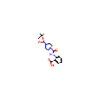 CC(C)(C)OC(=O)N1CCN(C(=O)Nc2ccccc2C(=O)O)CC1